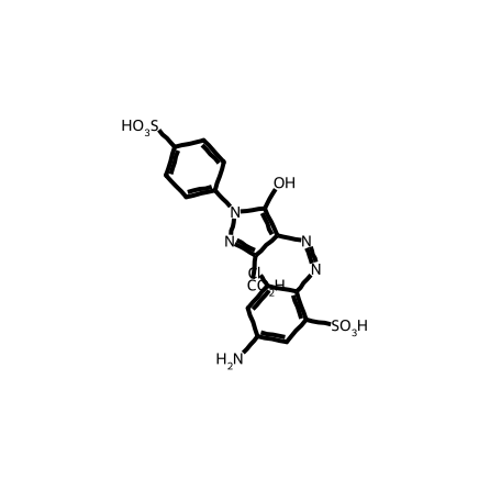 Nc1cc(Cl)c(/N=N\c2c(C(=O)O)nn(-c3ccc(S(=O)(=O)O)cc3)c2O)c(S(=O)(=O)O)c1